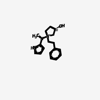 CN(c1ccc[nH]1)[N+]1(CCc2ccccc2)CC[C@H](O)C1